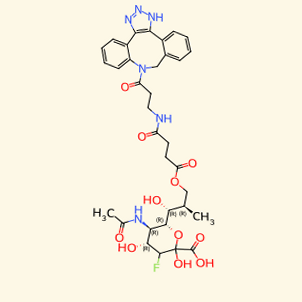 CC(=O)N[C@H]1[C@H]([C@H](O)[C@H](C)COC(=O)CCC(=O)NCCC(=O)N2Cc3ccccc3-c3[nH]nnc3-c3ccccc32)OC(O)(C(=O)O)C(F)[C@@H]1O